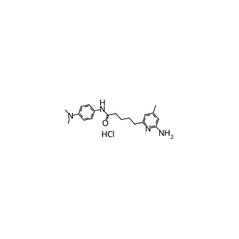 Cc1cc(N)nc(CCCCC(=O)Nc2ccc(N(C)C)cc2)c1.Cl